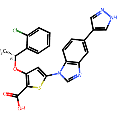 C[C@@H](Oc1cc(-n2cnc3cc(-c4cn[nH]c4)ccc32)sc1C(=O)O)c1ccccc1Cl